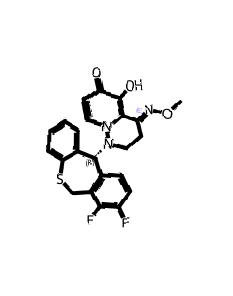 CO/N=C1\CCN([C@H]2c3ccccc3SCc3c2ccc(F)c3F)n2ccc(=O)c(O)c21